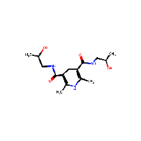 CC1=C(C(=O)NCC(C)O)CC(C(=O)NCC(C)O)=C(C)N1